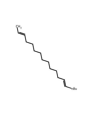 CC=CCCCCCCCCCC=CCCCC